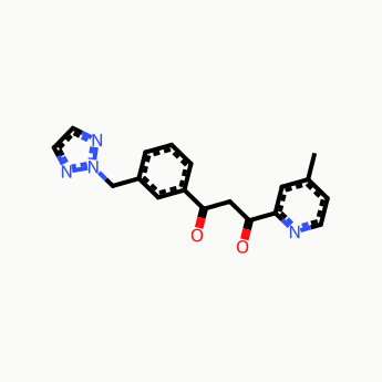 Cc1ccnc(C(=O)CC(=O)c2cccc(Cn3nccn3)c2)c1